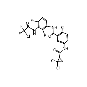 O=C(Nc1ccc(F)c(NC(=O)C(F)(F)Cl)c1F)c1cc(NC(=O)C2CC2(Cl)Cl)ccc1Cl